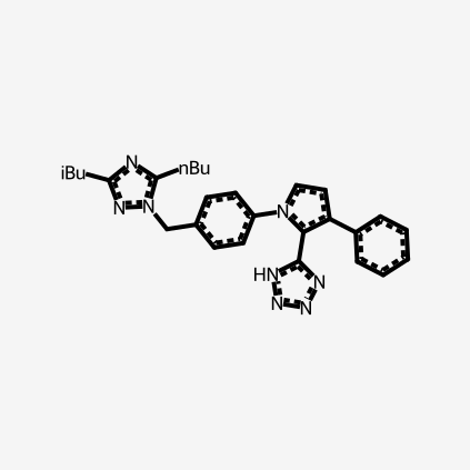 CCCCc1nc(C(C)CC)nn1Cc1ccc(-n2ccc(-c3ccccc3)c2-c2nnn[nH]2)cc1